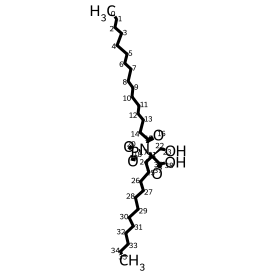 CCCCCCCCCCCCCCCC(=O)N(P(=O)=O)[C@@](CO)(CCCCCCCCCCCC)C(=O)O